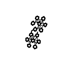 Cc1ccc2c(c1)B1c3cc(Cc4ccc(N(c5ccccc5)c5cc(N(c6ccccc6)c6ccccc6)c6c7c5Oc5ccccc5B7c5ccccc5O6)cc4)ccc3Oc3c(N(c4ccccc4)c4ccccc4)cc(N(c4ccccc4)c4ccccc4)c(c31)O2